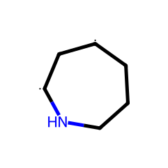 [CH]1C[CH]NCCC1